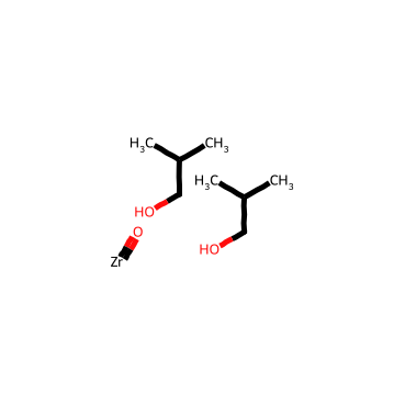 CC(C)CO.CC(C)CO.[O]=[Zr]